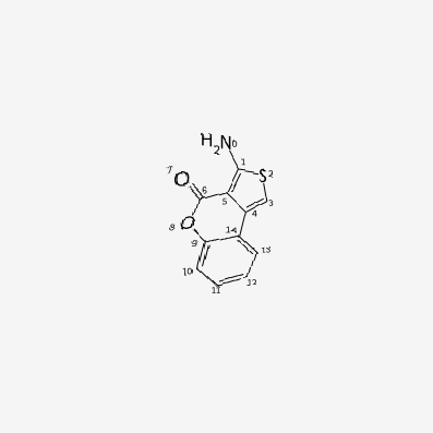 Nc1scc2c1c(=O)oc1ccccc12